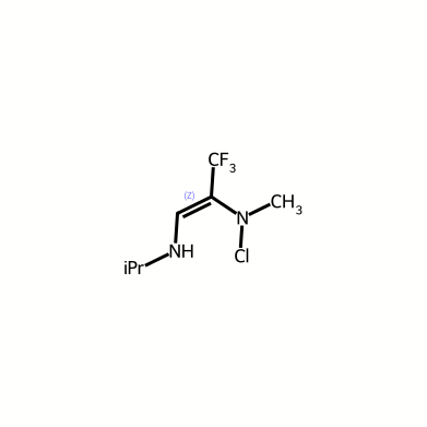 CC(C)N/C=C(\N(C)Cl)C(F)(F)F